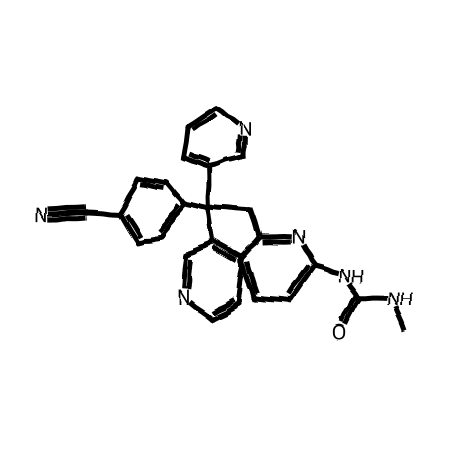 CNC(=O)Nc1cccc(CC(c2ccc(C#N)cc2)(c2cccnc2)c2cccnc2)n1